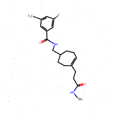 CC(C)(C)NC(=O)CCC1=CCCC(CNC(=O)c2cc(F)cc(C(F)(F)F)c2)CC1